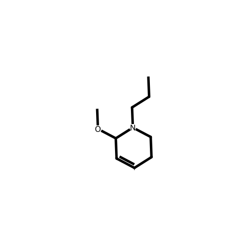 CCCN1CC[C]=CC1OC